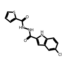 O=C(NNC(=O)c1cccs1)c1cc2cc(Cl)ccc2[nH]1